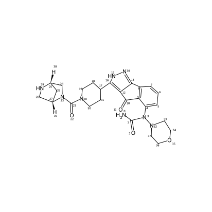 NC(=O)N(c1cccc2c1C(=O)c1c-2n[nH]c1C1CCN(C(=O)N2C[C@@H]3C[C@H]2CN3)CC1)N1CCOCC1